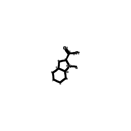 CC(C)C(=O)[C@@H]1CC2CCCCC2N1C